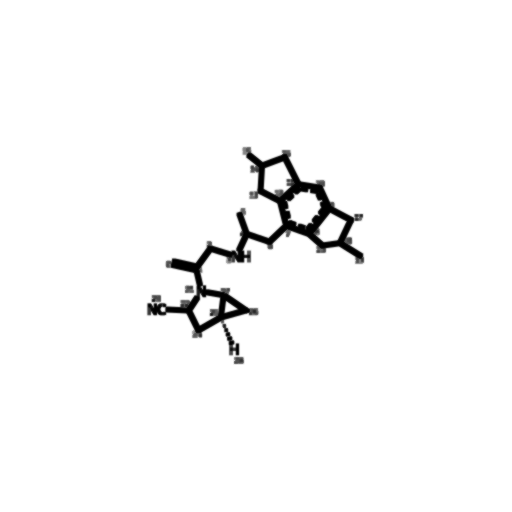 C=C(CNC(C)Cc1c2c(cc3c1CC(C)C3)CC(C)C2)N1C(C#N)C[C@@H]2CC21